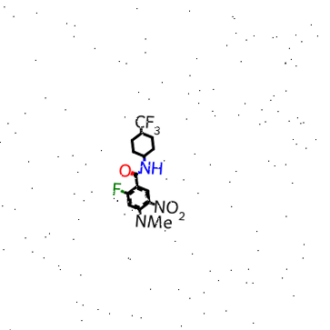 CNc1cc(F)c(C(=O)NC2CCC(C(F)(F)F)CC2)cc1[N+](=O)[O-]